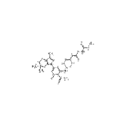 Cc1nn(-c2cc(F)c(C(N)=O)c(N[C@H]3CC[C@H](OC(=O)CNC(=O)OC(C)(C)C)CC3)c2)c2c1CCC(C)(C)C2